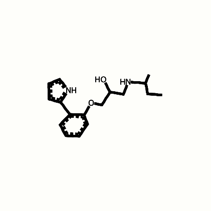 CCC(C)NCC(O)COc1ccccc1-c1ccc[nH]1